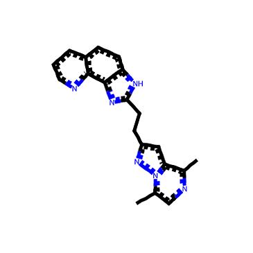 Cc1ncc(C)n2nc(CCc3nc4c(ccc5cccnc54)[nH]3)cc12